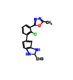 Cc1nnc(-c2cccc(-c3ccc4c(c3)NC(C=O)N4)c2Cl)o1